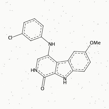 COc1ccc2[nH]c3c(=O)[nH]cc(Nc4cccc(Cl)c4)c3c2c1